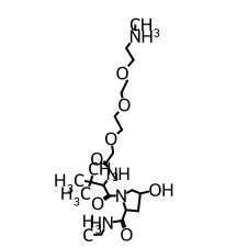 CCNC(=O)C1CC(O)CN1C(=O)C(NC(=O)COCCOCCOCCNC)C(C)(C)C